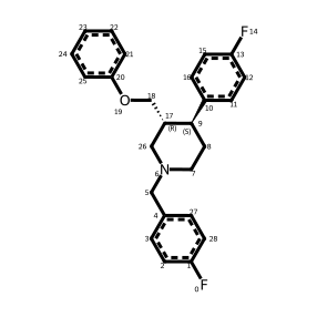 Fc1ccc(CN2CC[C@H](c3ccc(F)cc3)[C@@H](COc3ccccc3)C2)cc1